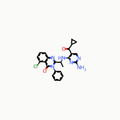 CC(Nc1nc(N)ncc1C(=O)C1CC1)c1nc2cccc(Cl)c2c(=O)n1-c1ccccc1